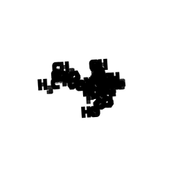 C#Cc1c(F)ccc2cc(O)cc(-c3nc(OC)c4c(N5C[C@@H](CO)OCC(C)(O)C5)nc(OC[C@]56CCC[C@H]5N(C5C[C@@H](C)O[C@@H](C)C5)CCC6)nc4c3F)c12